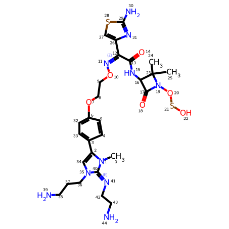 Cn1c(-c2ccc(OCCO/N=C(\C(=O)NC3C(=O)N(OSO)C3(C)C)c3csc(N)n3)cc2)cn(CCCN)/c1=N\CCN